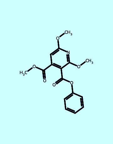 COC(=O)c1cc(OC)nc(OC)c1C(=O)Oc1ccccc1